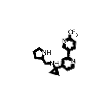 FC(F)(F)c1ccc(-c2cc(C3(NCC4CCCN4)CC3)ccn2)cn1